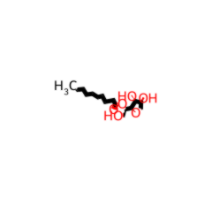 CCCCCCCCCC(=O)O[C@H](CO)[C@H]1OC[C@H](O)[C@H]1O